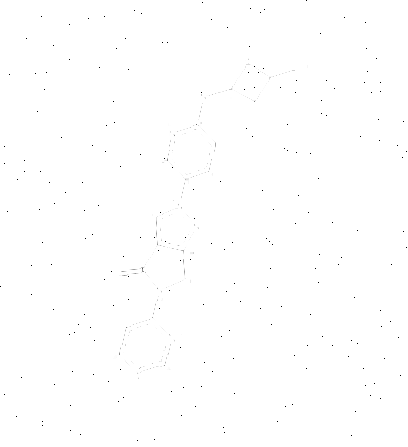 O=C1c2cn(-c3ccc(NC4CC(F)C4)nc3)nc2CN1c1ccccn1